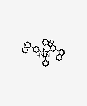 c1ccc(C2=NC(c3cc(-c4cccc5ccccc45)cc4oc5ccccc5c34)=NC(c3ccc(-c4cccc5ccccc45)cc3)N2)cc1